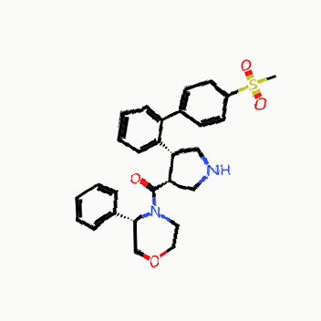 CS(=O)(=O)C1C=CC(c2ccccc2[C@@H]2CNC[C@H]2C(=O)N2CCOC[C@@H]2c2ccccc2)=CC1